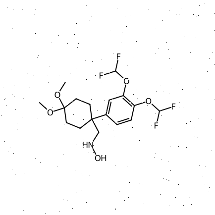 COC1(OC)CCC(CNO)(c2ccc(OC(F)F)c(OC(F)F)c2)CC1